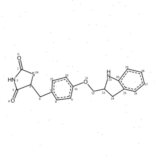 O=C1NC(=O)C(Cc2ccc(OCC3Cc4ccccc4N3)cc2)S1